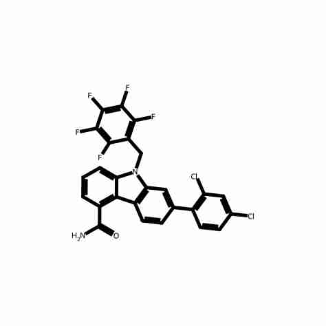 NC(=O)c1cccc2c1c1[c]cc(-c3ccc(Cl)cc3Cl)cc1n2Cc1c(F)c(F)c(F)c(F)c1F